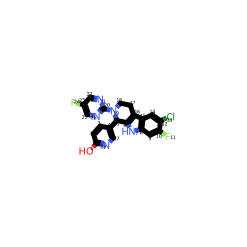 Oc1ccc(C2c3[nH]c4cc(F)c(Cl)cc4c3CCN2c2ncc(F)cn2)cn1